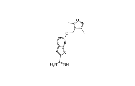 Cc1noc(C)c1COc1ccc2cc(C(=N)N)sc2c1